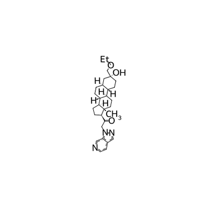 CCOC[C@@]1(O)CC[C@H]2[C@@H](CC[C@@H]3[C@@H]2CC[C@]2(C)[C@@H](C(=O)Cn4ncc5ccncc54)CC[C@@H]32)C1